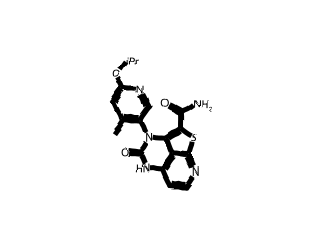 Cc1cc(OC(C)C)ncc1N1C(=O)Nc2ccnc3sc(C(N)=O)c1c23